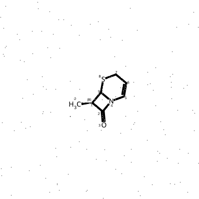 C[C@@H]1C(=O)N2C=CCSC12